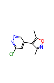 Cc1noc(C)c1-c1cnnc(Cl)c1